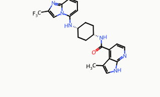 Cc1c[nH]c2nccc(C(=O)N[C@H]3CC[C@@H](Nc4cccc5nc(C(F)(F)F)cn45)CC3)c12